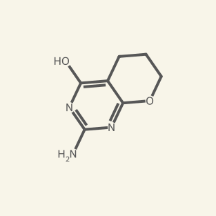 Nc1nc(O)c2c(n1)OCCC2